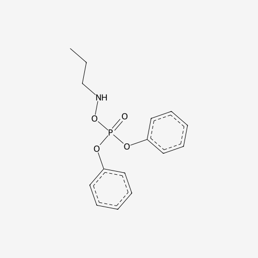 CCCNOP(=O)(Oc1ccccc1)Oc1ccccc1